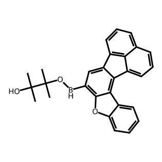 CC(C)(O)C(C)(C)OBc1cc2c(c3c1oc1ccccc13)-c1cccc3cccc-2c13